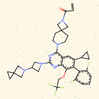 C=CC(=O)N1CC2(CCN(c3nc(N4CC(N5CC6(CC6)C5)C4)nc4c(OCC(F)(F)F)c(-c5c(F)cccc5F)c(C5CC5)cc34)CC2)C1